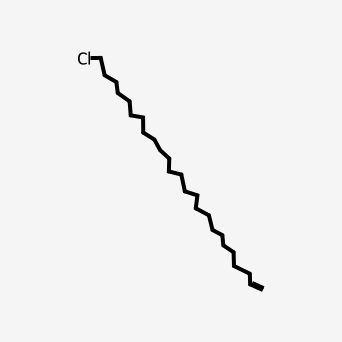 C=CCCCCCCCCCCCCCCCCCCCCCCCCl